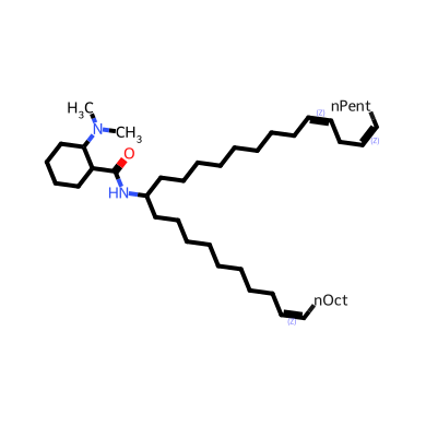 CCCCC/C=C\C/C=C\CCCCCCCCC(CCCCCCCC/C=C\CCCCCCCC)NC(=O)C1CCCCC1N(C)C